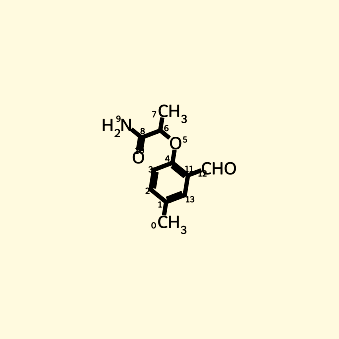 Cc1ccc(OC(C)C(N)=O)c(C=O)c1